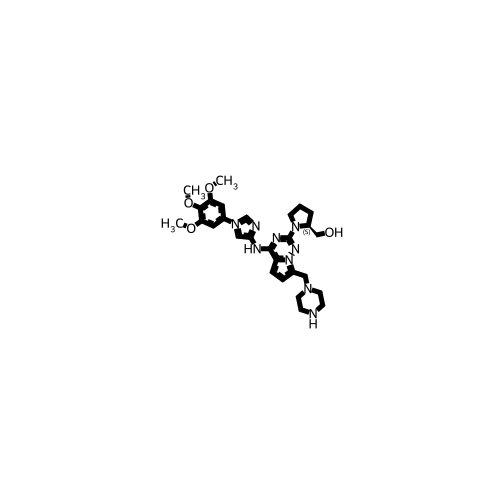 COc1cc(-n2cnc(Nc3nc(N4CCC[C@H]4CO)nn4c(CN5CCNCC5)ccc34)c2)cc(OC)c1OC